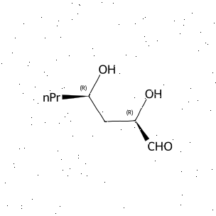 CCC[C@@H](O)C[C@@H](O)C=O